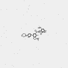 CCCc1cc(C)[nH]c(=O)c1CNC(=O)c1cc(-c2ccc(N3CCOCC3)nc2)c2c(c1C)C(N(C)C)CC2